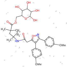 COc1ccc(-c2noc(CC(=O)NC(C)(C)CC(C)(C)C(=O)OCC3OC(O)C(O)C(O)C3O)c2-c2ccc(OC)cc2)cc1